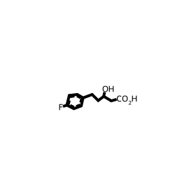 O=C(O)CC(O)CCc1ccc(F)cc1